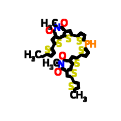 CCc1ccc(-c2cc3c(=O)n(C)c(=O)c4cc(-c5ccc(Pc6ccc(-c7cc8c(=O)n(C)c(=O)c9cc(-c%10ccc(C)s%10)sc9c8s7)s6)s5)sc4c3s2)s1